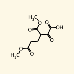 COC(=O)CCC(C(=O)OC)C(=O)C(=O)O